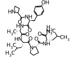 CC(C)C[C@H](NC(=O)[C@@H]1CCCN1C(=O)[C@H](CC(C)C)NC(=O)[C@H](C)NC(=O)[C@H](Cc1ccc(O)cc1)NC(=O)C1CCN1)C(N)=O